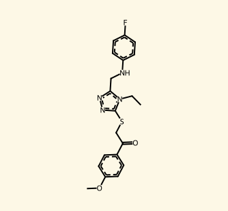 CCn1c(CNc2ccc(F)cc2)nnc1SCC(=O)c1ccc(OC)cc1